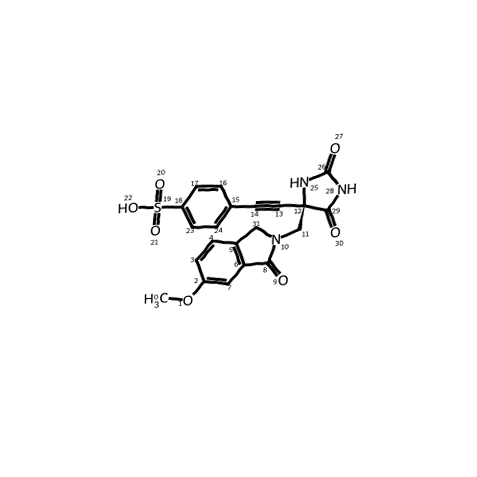 COc1ccc2c(c1)C(=O)N(C[C@@]1(C#Cc3ccc(S(=O)(=O)O)cc3)NC(=O)NC1=O)C2